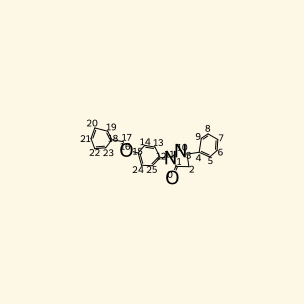 O=C1CC(c2ccccc2)=NN1c1ccc(OCc2ccccc2)cc1